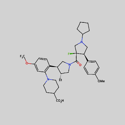 CC[C@H]1CN(C(=O)[C@]2(F)CN(C3CCCC3)C[C@H]2c2ccc(OC)cc2)C[C@@H]1c1ccc(OC(F)(F)F)cc1N1CCC(C(=O)O)CC1